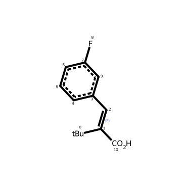 CC(C)(C)/C(=C\c1cccc(F)c1)C(=O)O